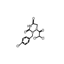 O=C1CN(C(=O)C(Cl)Cl)N(Cc2ccc(Cl)cc2)C(=O)N1